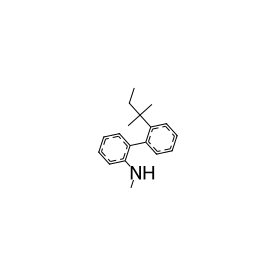 CCC(C)(C)c1ccccc1-c1ccccc1NC